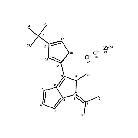 CC(C)=S1C2=CC=CC2=C(C2=CC(C(C)(C)C)=CC2)C1C.[Cl-].[Cl-].[Zr+2]